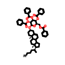 CC(C)CCCC(C)[C@H]1CCC2C3CC=C4C[C@@H](O[C@@H]5O[C@H](COC(=O)c6ccccc6)[C@@H](OC(=O)c6ccccc6)[C@H](OC(=O)c6ccccc6)[C@H]5OC(=O)c5ccccc5)CC[C@]4(C)C3CC[C@@]21C